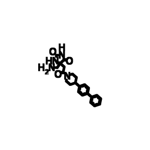 NCC1(CC(=O)N2CCC(c3ccc(-c4ccccc4)cc3)CC2)NC(=O)NC1=O